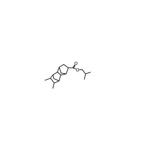 CC(C)COC(=O)C1CC2CC1C1C3CC(C(C)C3C)C21